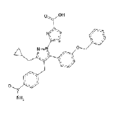 N[S+]([O-])c1ccc(Cc2c(CC3CC3)nn(-c3nc(C(=O)O)cs3)c2-c2cccc(OCc3ccccc3)c2)cc1